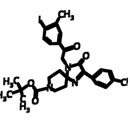 Cc1cc(C(=O)CN2C(=O)C(c3ccc(Cl)cc3)=NC23CCN(C(=O)OC(C)(C)C)CC3)ccc1I